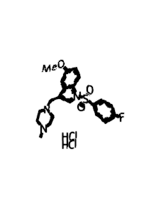 COc1ccc2c(c1)c(CN1CCN(C)CC1)cn2S(=O)(=O)c1ccc(F)cc1.Cl.Cl